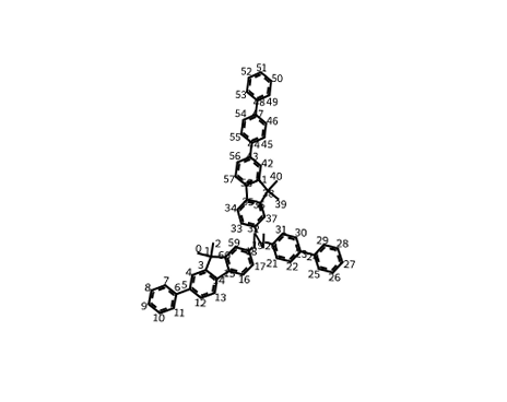 CC1(C)c2cc(-c3ccccc3)ccc2-c2ccc(N(c3ccc(-c4ccccc4)cc3)c3ccc4c(c3)C(C)(C)c3cc(-c5ccc(-c6ccccc6)cc5)ccc3-4)cc21